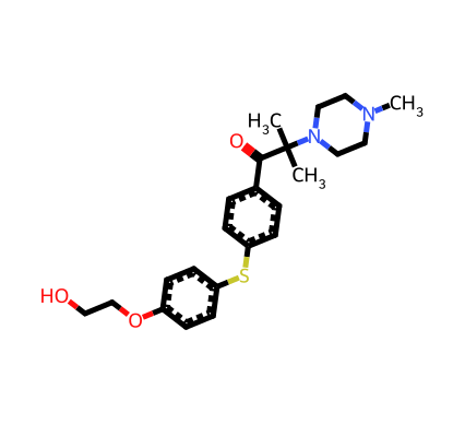 CN1CCN(C(C)(C)C(=O)c2ccc(Sc3ccc(OCCO)cc3)cc2)CC1